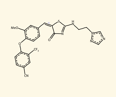 COc1cc(/C=C2/SC(NCCn3cncn3)=NC2=O)ccc1Oc1ccc(C#N)cc1C(F)(F)F